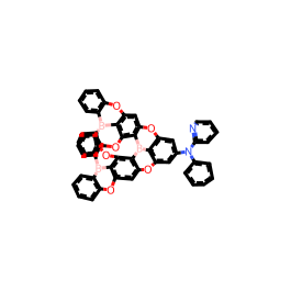 c1ccc(N(c2cc3c4c(c2)Oc2cc5c6c(c2B4c2c(cc4c7c2Oc2ccccc2B7c2ccccc2O4)O3)Oc2ccccc2B6c2ccccc2O5)c2ccccn2)cc1